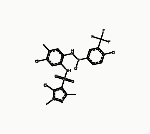 Cc1cc(N[S+]([O-])c2ccc(Cl)c(C(F)(F)F)c2)c(NS(=O)(=O)c2c(C)nn(C)c2Cl)cc1Cl